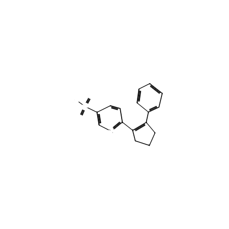 CS(=O)(=O)c1ccc(C2=C(c3ccccc3)CCC2)nc1